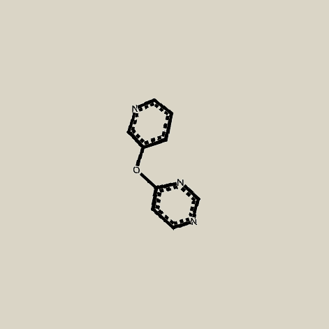 [c]1cc(Oc2cccnc2)ncn1